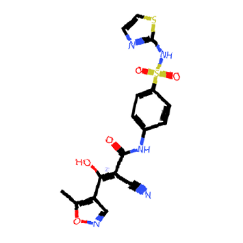 Cc1oncc1/C(O)=C(\C#N)C(=O)Nc1ccc(S(=O)(=O)Nc2nccs2)cc1